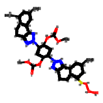 CC(C)(C)OC(=O)Oc1cc(-n2nc3ccc4c(S(=O)(=O)O)cc(S(=O)(=O)O)cc4c3n2)c(OC(=O)OC(C)(C)C)cc1-n1nc2ccc3c(SOOO)cc(S(=O)(=O)O)cc3c2n1